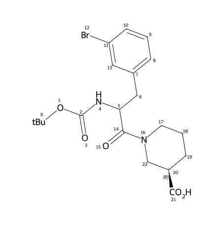 CC(C)(C)OC(=O)NC(Cc1cccc(Br)c1)C(=O)N1CCC[C@@H](C(=O)O)C1